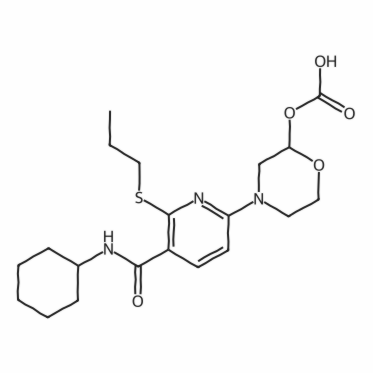 CCCSc1nc(N2CCOC(OC(=O)O)C2)ccc1C(=O)NC1CCCCC1